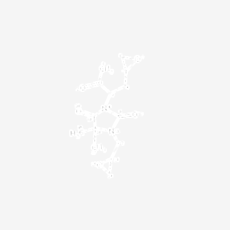 CC(=O)C(CC1CO1)N1C(=O)N(CC2CO2)C(C)(C)C1=O